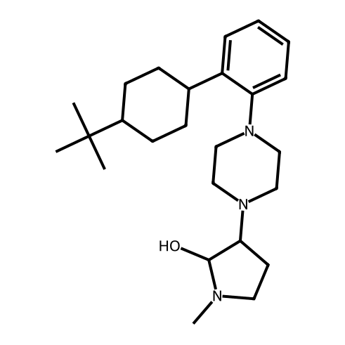 CN1CCC(N2CCN(c3ccccc3C3CCC(C(C)(C)C)CC3)CC2)C1O